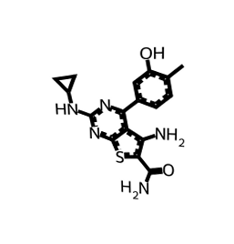 Cc1ccc(-c2nc(NC3CC3)nc3sc(C(N)=O)c(N)c23)cc1O